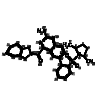 CC1CCC(C)N1S(=O)(=O)c1ccccc1-c1ccc2nc(N)nc(C(=O)N3Cc4ccccc4C3)c2c1